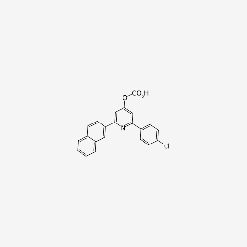 O=C(O)Oc1cc(-c2ccc(Cl)cc2)nc(-c2ccc3ccccc3c2)c1